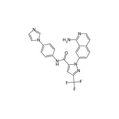 Nc1nccc2ccc(-n3nc(C(F)(F)F)cc3C(=O)Nc3ccc(-n4ccnc4)cc3)cc12